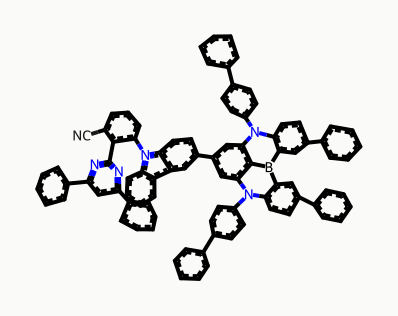 N#Cc1cccc(-n2c3ccccc3c3cc(-c4cc5c6c(c4)N(c4ccc(-c7ccccc7)cc4)c4ccc(-c7ccccc7)cc4B6c4cc(-c6ccccc6)ccc4N5c4ccc(-c5ccccc5)cc4)ccc32)c1-c1nc(-c2ccccc2)cc(-c2ccccc2)n1